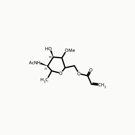 C=CC(=O)OCC1OC(C)[C@@H](NC(C)=O)[C@@H](O)C1OC